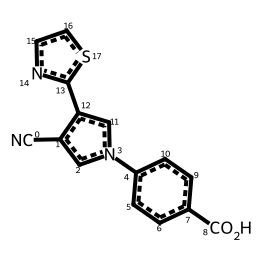 N#Cc1cn(-c2ccc(C(=O)O)cc2)cc1-c1nccs1